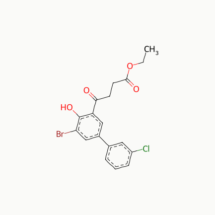 CCOC(=O)CCC(=O)c1cc(-c2cccc(Cl)c2)cc(Br)c1O